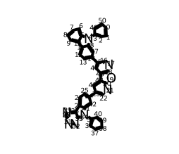 c1ccc(-n2c3ccccc3c3ccc(-c4cnc5oc6ncc(-c7ccc8c9ncnnc9n(-c9ccccc9)c8c7)cc6c5c4)cc32)cc1